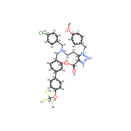 COc1ccc(Cn2nnc(C(=O)O)c2CCN(Cc2ccc(Cl)cc2)Cc2ccc(-c3ccc(OC(F)(F)F)cc3)cc2)cc1